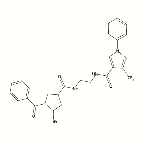 CC(C)C1CC(C(=O)NCCNC(=O)c2cn(-c3ccccc3)nc2C(F)(F)F)CC1C(=O)c1ccccc1